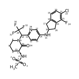 CS(=O)(=O)N[C@H]1CCCN(C(c2ccc(NC3Cc4ccc(Cl)c(F)c4C3)cn2)C(F)(F)F)C1=O